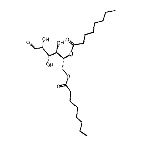 CCCCCCCC(=O)OC[C@@H](OC(=O)CCCCCCC)[C@H](O)[C@H](O)[C@@H](O)C=O